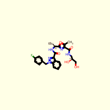 Cc1oc([C@@H](NC(=O)c2nn(Cc3ccc(F)cc3)c3ccccc23)C(C)(C)C)nc1C(=O)NC[C@H](O)CO